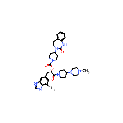 Cc1cc(C[C@@H](OC(=O)N2CCC(N3CCc4ccccc4NC3=O)CC2)C(=O)N2CCC(N3CCN(C)CC3)CC2)cc2nc[nH]c12